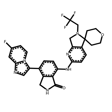 O=C1NCc2c(-c3cnc4cc(F)ccn34)ccc(Nc3ccc4c(n3)CN(CC(F)(F)F)C43CCOCC3)c21